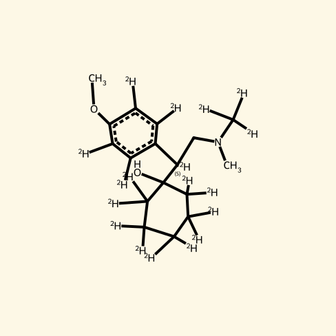 [2H]c1c([2H])c([C@@]([2H])(CN(C)C([2H])([2H])[2H])C2(O)C([2H])([2H])C([2H])([2H])C([2H])([2H])C([2H])([2H])C2([2H])[2H])c([2H])c([2H])c1OC